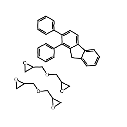 C(OCC1CO1)C1CO1.C(OCC1CO1)C1CO1.c1ccc(-c2ccc3c(c2-c2ccccc2)Cc2ccccc2-3)cc1